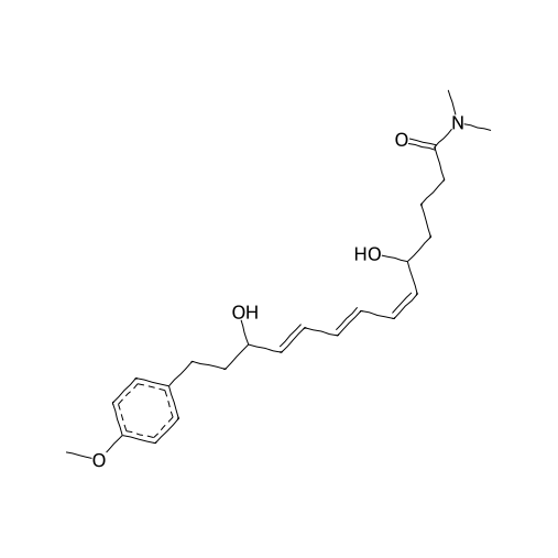 COc1ccc(CCC(O)/C=C/C=C/C=C\C(O)CCCC(=O)N(C)C)cc1